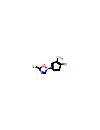 CCC1N=CN(c2ccc(Br)c(C)c2)O1